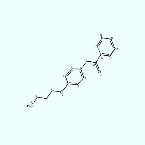 CCCCOc1ccc(CC(=O)c2cccnc2)cc1